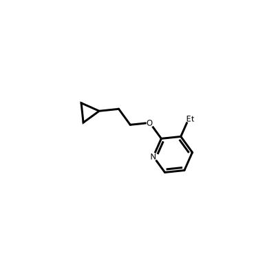 CCc1cccnc1OCCC1CC1